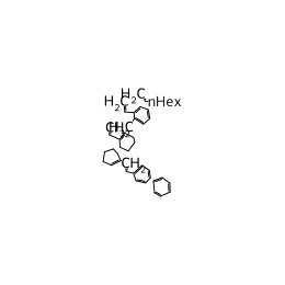 C1=CCCCC1.C=CC1=CCCCC1.C=CCCCCCC.C=Cc1ccccc1.C=Cc1ccccc1C.c1ccccc1